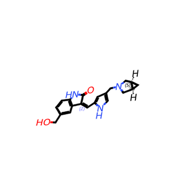 O=C1Nc2ccc(CO)cc2/C1=C/c1cc(CN2C[C@H]3C[C@H]3C2)c[nH]1